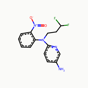 Nc1ccc(N(CCC(F)F)c2ccccc2[N+](=O)[O-])nc1